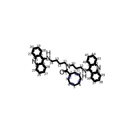 O=C(C1=C/C=C\C=C/C=C\1)N(CCCCNc1c2ccccc2nc2ccccc12)CCCNc1c2ccccc2nc2ccccc12